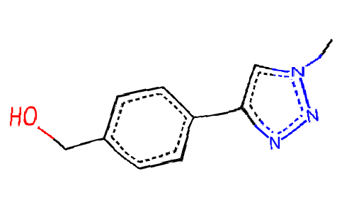 Cn1cc(-c2ccc(CO)cc2)nn1